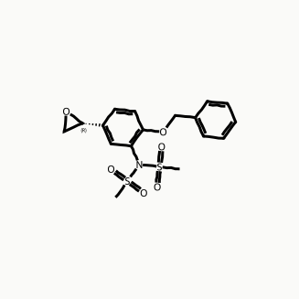 CS(=O)(=O)N(c1cc([C@@H]2CO2)ccc1OCc1ccccc1)S(C)(=O)=O